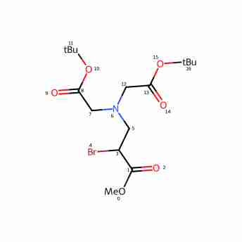 COC(=O)C(Br)CN(CC(=O)OC(C)(C)C)CC(=O)OC(C)(C)C